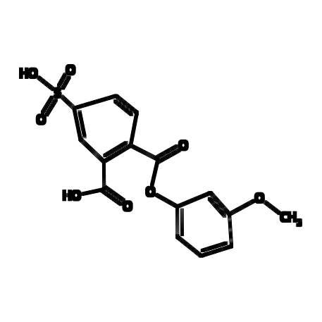 COc1cccc(OC(=O)c2ccc(S(=O)(=O)O)cc2C(=O)O)c1